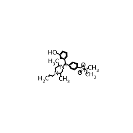 C=CCN1CC(C)N([C@H](c2ccc(S(=O)(=O)N(C)C)cc2)c2cccc(O)c2)CC1C